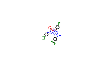 O=C(O)C(Cc1ccc(Cl)cc1)Nc1nc(Nc2ccc(C(F)(F)F)cc2)nc(-c2ccc(F)cc2)n1